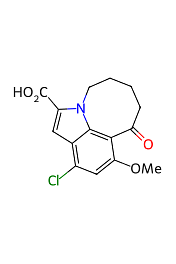 COc1cc(Cl)c2cc(C(=O)O)n3c2c1C(=O)CCCC3